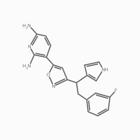 Nc1ccc(-c2cc(C(Cc3cccc(F)c3)c3cc[nH]c3)no2)c(N)n1